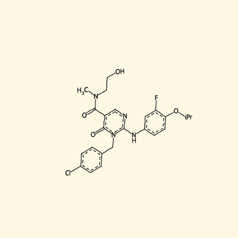 CC(C)Oc1ccc(Nc2ncc(C(=O)N(C)CCO)c(=O)n2Cc2ccc(Cl)cc2)cc1F